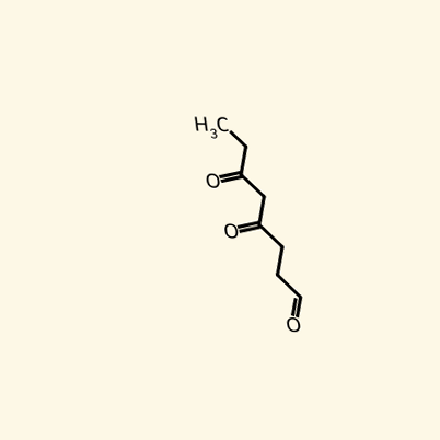 CCC(=O)CC(=O)CCC=O